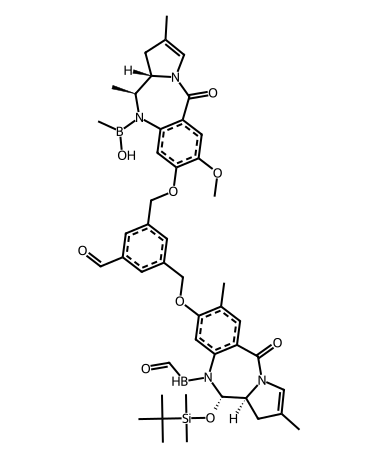 COc1cc2c(cc1OCc1cc(C=O)cc(COc3cc4c(cc3C)C(=O)N3C=C(C)C[C@H]3[C@H](O[Si](C)(C)C(C)(C)C)N4BC=O)c1)N(B(C)O)[C@@H](C)[C@@H]1CC(C)=CN1C2=O